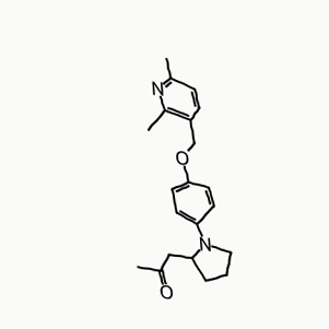 CC(=O)CC1CCCN1c1ccc(OCc2ccc(C)nc2C)cc1